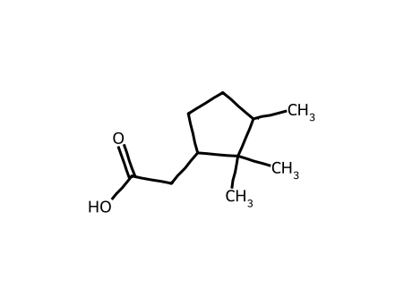 C[C]1CCC(CC(=O)O)C1(C)C